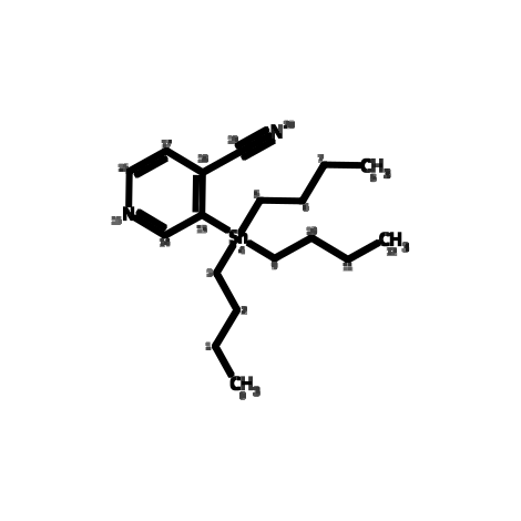 CCC[CH2][Sn]([CH2]CCC)([CH2]CCC)[c]1cnccc1C#N